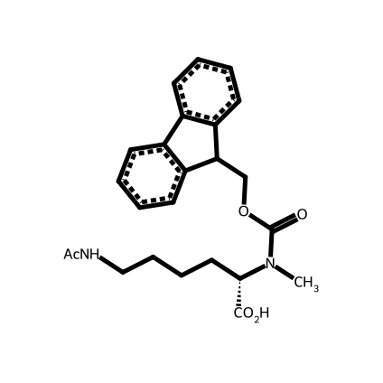 CC(=O)NCCCC[C@@H](C(=O)O)N(C)C(=O)OCC1c2ccccc2-c2ccccc21